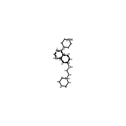 c1nc(N2CCNCC2)c2ccc(OCCN3CCCCC3)cc2n1